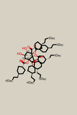 CCCCCCCCCCCC[C@H]1CC[C@H](C(=O)O[C@@]2(C(=O)[C@H]3CC[C@H](CCCCCCCCCCCC)CC3)[C@@](OC(=O)[C@H]3CC[C@H](CCCCCCCCCCCC)CC3)(C(=O)[C@H]3CC[C@H](CCCCCCCCCCCC)CC3)[C@@H](O)[C@H](O)[C@@H](O)[C@@]2(OC(=O)[C@H]2CC[C@H](CCCCCCCCCCCC)CC2)C(=O)[C@H]2CC[C@H](CCCCCCCCCCCC)CC2)CC1